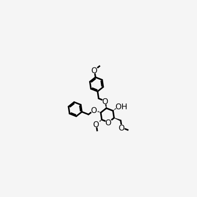 COC[C@H]1O[C@H](OC)[C@H](OCc2ccccc2)[C@@H](OCc2ccc(OC)cc2)[C@@H]1O